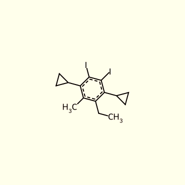 CCc1c(C)c(C2CC2)c(I)c(I)c1C1CC1